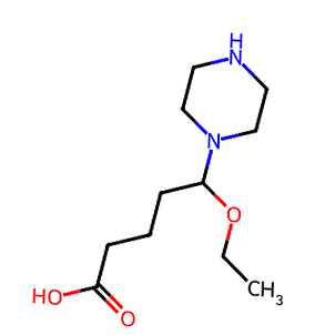 CCOC(CCCC(=O)O)N1CCNCC1